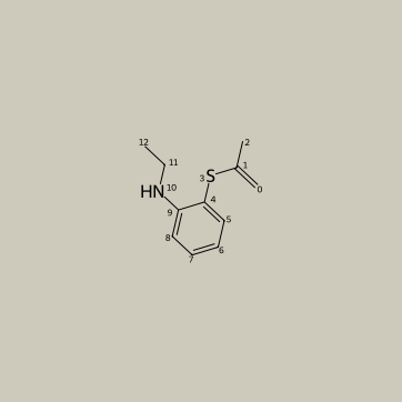 C=C(C)Sc1ccccc1NCC